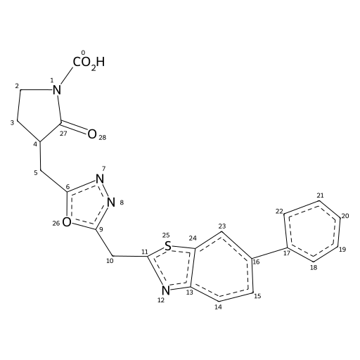 O=C(O)N1CCC(Cc2nnc(Cc3nc4ccc(-c5ccccc5)cc4s3)o2)C1=O